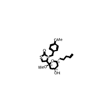 C=CCCC[C@@H]1C[C@H](O)C[C@](OC)(C2CSC(=O)N2Cc2ccc(OC)cc2)O1